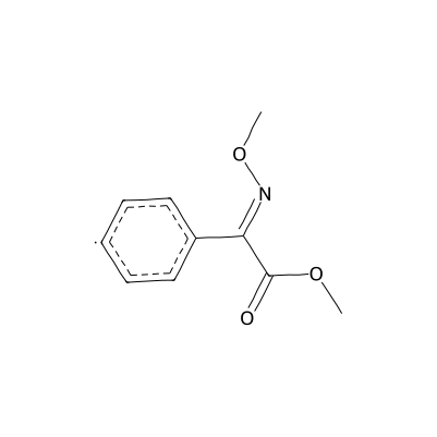 CO/N=C(/C(=O)OC)c1cc[c]cc1